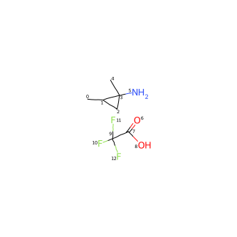 CC1CC1(C)N.O=C(O)C(F)(F)F